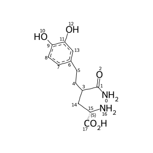 NC(=O)C(CCc1ccc(O)c(O)c1)C[C@H](N)C(=O)O